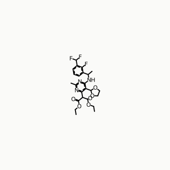 CCOC(=O)C(C(=O)OCC)c1nc(C)nc(NC(C)c2cccc(C(F)F)c2F)c1C1OCCO1